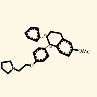 COc1ccc2c(c1)CC[C@@H](c1ccccc1)[C@H]2c1ccc(OCCN2CCCC2)cc1